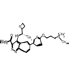 CNC(=O)c1nnc2ccc(-c3ccc(OCCCN(C)C)nc3)cc2c1N[C@@H](C)C1CCO1